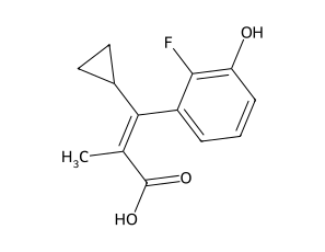 C/C(C(=O)O)=C(/c1cccc(O)c1F)C1CC1